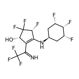 N=C(C1=C(N[C@@H]2C[C@@H](F)[C@@H](F)[C@@H](F)C2)[C@@H](F)C(F)(F)[C@H]1O)C(F)(F)F